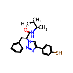 CC(C)[C@@H](C)NC(=O)[C@H](Cc1ccccc1)n1cc(-c2ccc(S)cc2)nn1